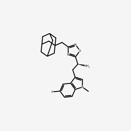 Cn1cc(C[C@H](N)c2nc(CC34CC5CC(CC(C5)C3)C4)no2)c2cc(F)ccc21